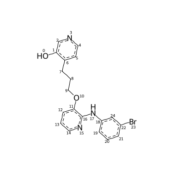 Oc1cnccc1CCCOc1cccnc1Nc1cccc(Br)c1